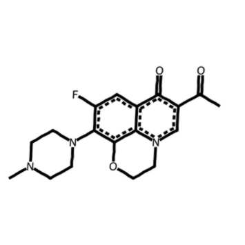 CC(=O)c1cn2c3c(c(N4CCN(C)CC4)c(F)cc3c1=O)OCC2